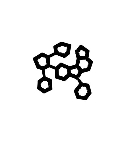 c1ccc(-c2cccc(-c3ccccc3)c2-c2ccc3c(c2)c2c4sccc4ccc2n3-c2ccccc2)cc1